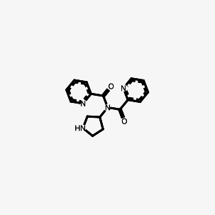 O=C(c1ccccn1)N(C(=O)c1ccccn1)C1CCNC1